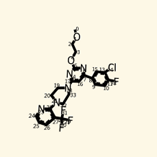 COCCOc1nc(-c2ccc(F)c(Cl)c2)cc(N2CCN(c3ncccc3C(F)(F)F)CC2)n1